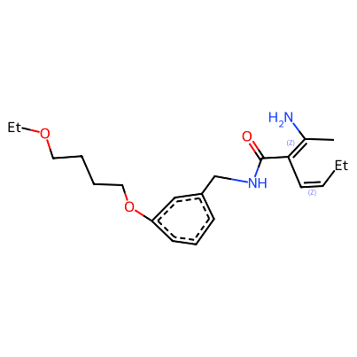 CC/C=C\C(C(=O)NCc1cccc(OCCCCOCC)c1)=C(/C)N